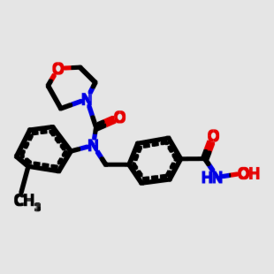 Cc1cccc(N(Cc2ccc(C(=O)NO)cc2)C(=O)N2CCOCC2)c1